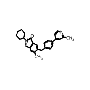 Cc1cc(-c2ccc(Cc3cc4c(cc3C)CN(C3CCCCC3)C4=O)cc2)ccn1